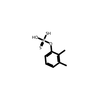 Cc1cccc(OP(O)(=S)S)c1C